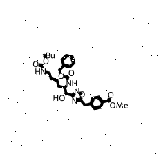 COC(=O)c1ccc(Cc2nc(C(O)C(CCCCNC(=O)OC(C)(C)C)NC(=O)OCc3ccccc3)no2)cc1